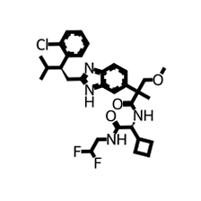 COCC(C)(C(=O)N[C@@H](C(=O)NCC(F)F)C1CCC1)c1ccc2nc(C[C@H](c3ccccc3Cl)C(C)C)[nH]c2c1